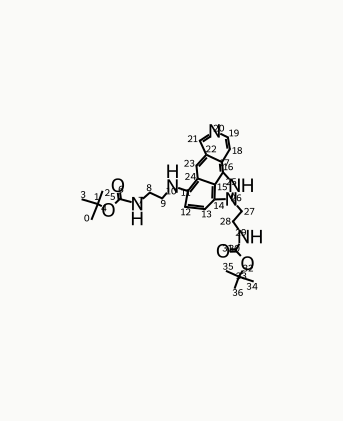 CC(C)(C)OC(=O)NCCNc1ccc2c3c(c4ccncc4cc13)NN2CCNC(=O)OC(C)(C)C